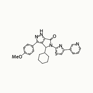 COc1ccc(-c2n[nH]c3c2C(C2CCCCC2)N(c2nc(-c4cccnc4)cs2)C3=O)cc1